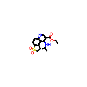 CCOC(=O)c1cnc2ccc3c(c2c1NC(C)C)CCS3(=O)=O